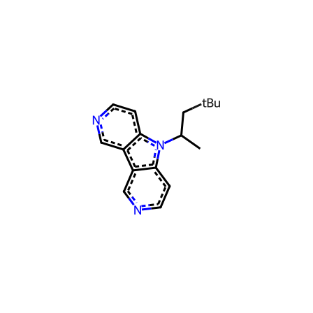 CC(CC(C)(C)C)n1c2ccncc2c2cnccc21